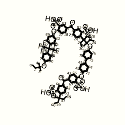 CCC(C)(C)Oc1ccc(C(c2ccc(Oc3ccc(C(=O)c4ccc(C(CC)(CC)C(C)(CC)Oc5ccc(-c6ccc(Oc7ccc(C(=O)c8ccc(C(C)(CC)CC)c(S(=O)(=O)O)c8)cc7S(=O)(=O)O)cc6)cc5)c(S(=O)(=O)O)c4)cc3S(=O)(=O)O)cc2)(C(F)(F)F)C(F)(F)F)cc1